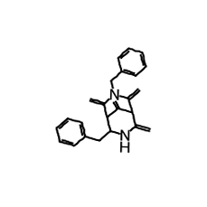 C=C1NC(Cc2ccccc2)C2C(=C)C1C(=C)N(Cc1ccccc1)C2=C